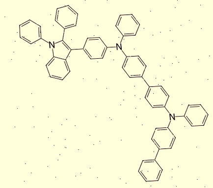 c1ccc(-c2ccc(N(c3ccccc3)c3ccc(-c4ccc(N(c5ccccc5)c5ccc(-c6c(-c7ccccc7)n(-c7ccccc7)c7ccccc67)cc5)cc4)cc3)cc2)cc1